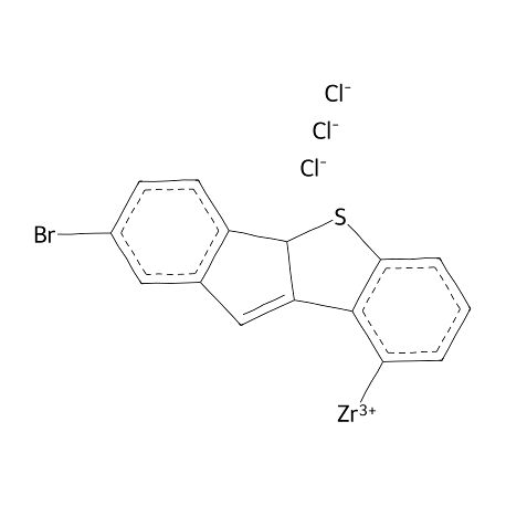 Brc1ccc2c(c1)C=C1c3[c]([Zr+3])cccc3SC12.[Cl-].[Cl-].[Cl-]